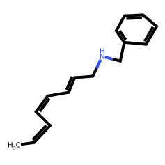 C\C=C/C=C\C=C\CNCc1ccccc1